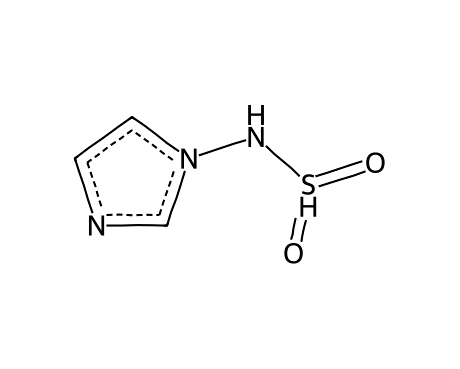 O=[SH](=O)Nn1ccnc1